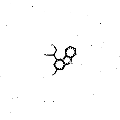 CNC(CC(C)C)c1cc(C(C)C)cc2[nH]c3ccccc3c12